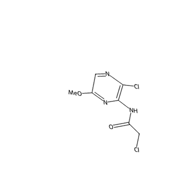 COc1cnc(Cl)c(NC(=O)CCl)n1